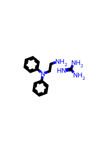 N=C(N)N.NCCN(c1ccccc1)c1ccccc1